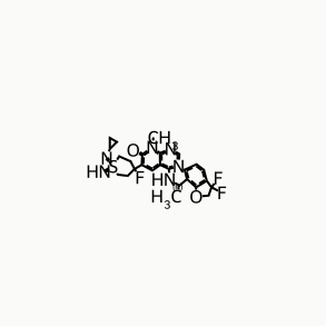 C[C@@H](Nc1ncnc2c1cc(C1(F)CCS(=N)(=NC3CC3)CC1)c(=O)n2C)c1cccc2c1OCC2(F)F